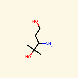 CC(C)(O)C(N)CCO